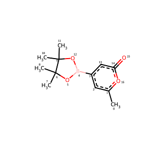 Cc1cc(B2OC(C)(C)C(C)(C)O2)cc(=O)o1